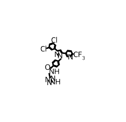 O=C(NCc1nn[nH]n1)c1ccc(Cn2nc(-c3cc(Cl)cc(Cl)c3)cc2-c2ccc(C(F)(F)F)nc2)cc1